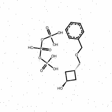 O=P(O)(O)OP(=O)(O)OP(=O)(O)O.O[C@H]1C[C@H](COCc2ccccc2)C1